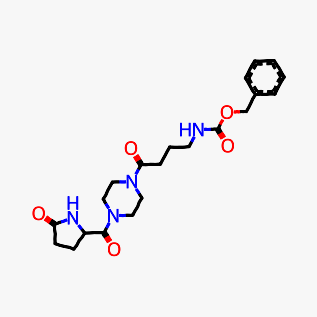 O=C1CCC(C(=O)N2CCN(C(=O)CCCNC(=O)OCc3ccccc3)CC2)N1